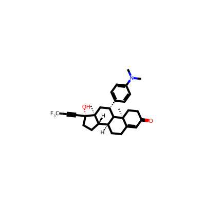 CN(C)c1ccc([C@H]2C[C@@]3(C)[C@@H](CC[C@@]3(O)C#CC(F)(F)F)[C@@H]3CCC4=CC(=O)CC[C@]4(C)C23)cc1